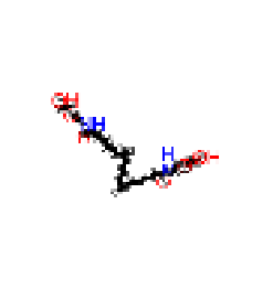 CC(CCCCCCC(=O)NCCOCCO)CCCCC(C)CCCCCCC(=O)NCCOCCO